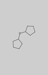 C1CCC(OC2CCCC2)C1